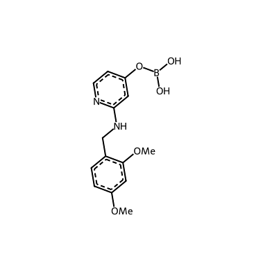 COc1ccc(CNc2cc(OB(O)O)ccn2)c(OC)c1